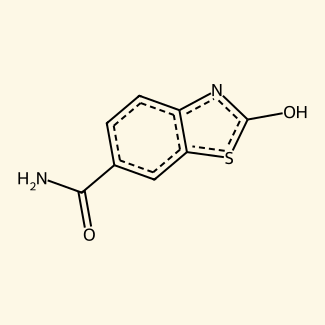 NC(=O)c1ccc2nc(O)sc2c1